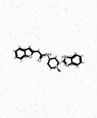 CN1CC[C@@H](NC(=O)Cc2cc3ccccc3o2)C[C@@H]1c1nc2ccccc2[nH]1